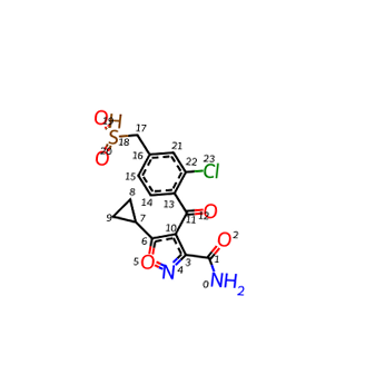 NC(=O)c1noc(C2CC2)c1C(=O)c1ccc(C[SH](=O)=O)cc1Cl